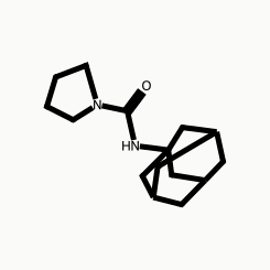 O=C(NC12CC3CC(CC(C3)C1)C2)N1CCCC1